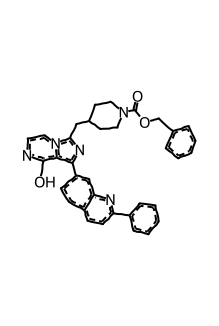 O=C(OCc1ccccc1)N1CCC(Cc2nc(-c3ccc4ccc(-c5ccccc5)nc4c3)c3c(O)nccn23)CC1